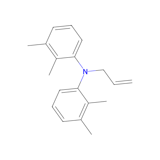 C=CCN(c1cccc(C)c1C)c1cccc(C)c1C